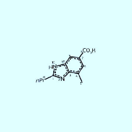 CCCc1nc2c(C)cc(C(=O)O)cc2[nH]1